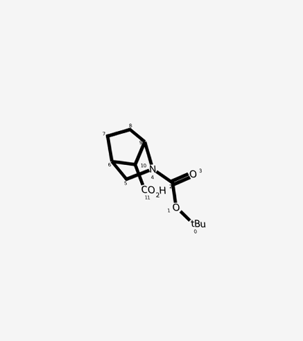 CC(C)(C)OC(=O)N1CC2CCC1C2C(=O)O